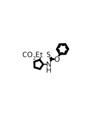 CCOC(=O)[C@@H]1CCC[C@@H]1NC(=S)Oc1ccccc1